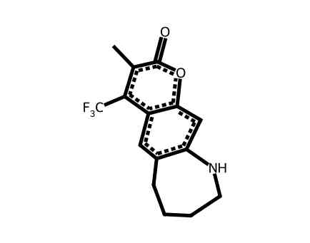 Cc1c(C(F)(F)F)c2cc3c(cc2oc1=O)NCCCC3